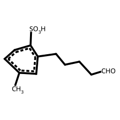 Cc1ccc(S(=O)(=O)O)c(CCCCC=O)c1